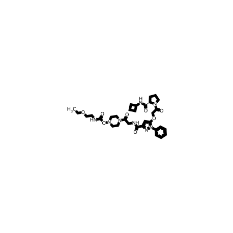 CCOCCNC(=O)ON1CCN(C(=O)CNC(=O)c2cc(OCC(=O)N3CCC[C@H]3C(=O)NC3CCC3)n(-c3ccccc3)n2)CC1